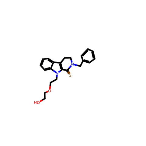 OCCOCCn1c2c(c3ccccc31)CCN(Cc1ccccc1)C2=S